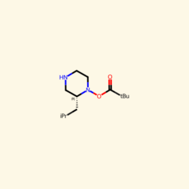 CC(C)C[C@@H]1CNCCN1OC(=O)C(C)(C)C